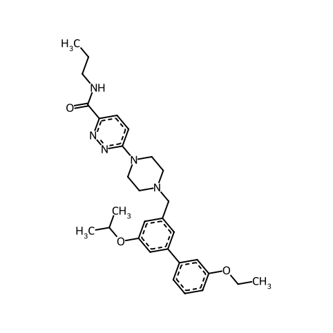 CCCNC(=O)c1ccc(N2CCN(Cc3cc(OC(C)C)cc(-c4cccc(OCC)c4)c3)CC2)nn1